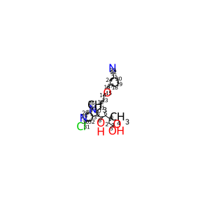 C[C@H](CC(=O)O)CC(O)c1c(CCCCOCc2cccc(C#N)c2)n(C)c2cnc(Cl)cc12